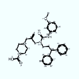 C=C(CN1CCN(C(=O)O)CC1)CN(CCC(c1ccccc1)c1ccccc1)C(=O)Nc1cccc(OC)c1